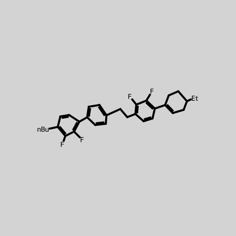 CCCCc1ccc(-c2ccc(CCc3ccc(C4=CCC(CC)CC4)c(F)c3F)cc2)c(F)c1F